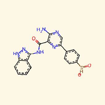 Nc1ncc(-c2ccc([SH](=O)=O)cc2)nc1C(=O)Nc1n[nH]c2ccccc12